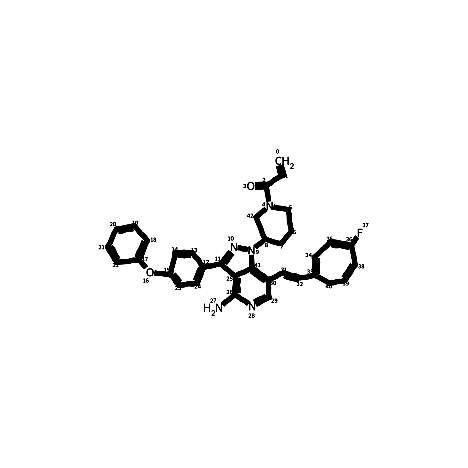 C=CC(=O)N1CCCC(n2nc(-c3ccc(Oc4ccccc4)cc3)c3c(N)ncc(/C=C/C4=CC=C(F)C=CC4)c32)C1